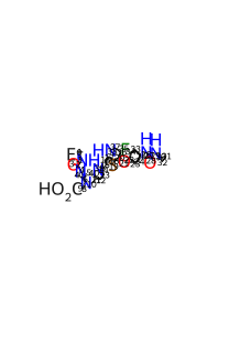 CCNC(=O)N1CC(N(CC(=O)O)Cc2ccc(-c3cc4c(s3)C(Oc3ccc(NC(=O)NC5CC5)cc3F)=CCN4)nc2)C1